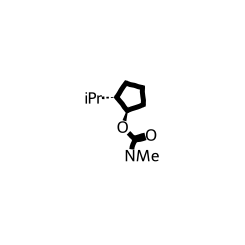 CNC(=O)O[C@@H]1CCC[C@H]1C(C)C